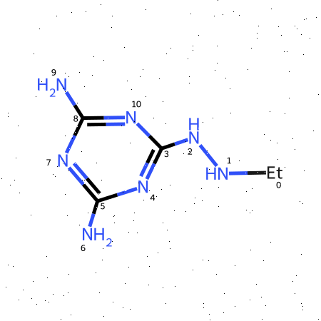 CCNNc1nc(N)nc(N)n1